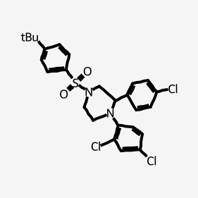 CC(C)(C)c1ccc(S(=O)(=O)N2CCN(c3ccc(Cl)cc3Cl)C(c3ccc(Cl)cc3)C2)cc1